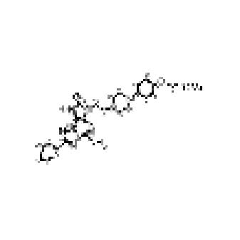 COCCOc1ccc(N2CCN(CCn3c(=O)n(C)c4c3nc(N)n3nc(-c5ccccn5)nc43)CC2)cc1